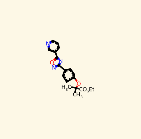 CCOC(=O)C(C)(C)Oc1ccc(-c2noc(-c3cccnc3)n2)cc1